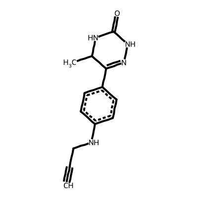 C#CCNc1ccc(C2=NNC(=O)NC2C)cc1